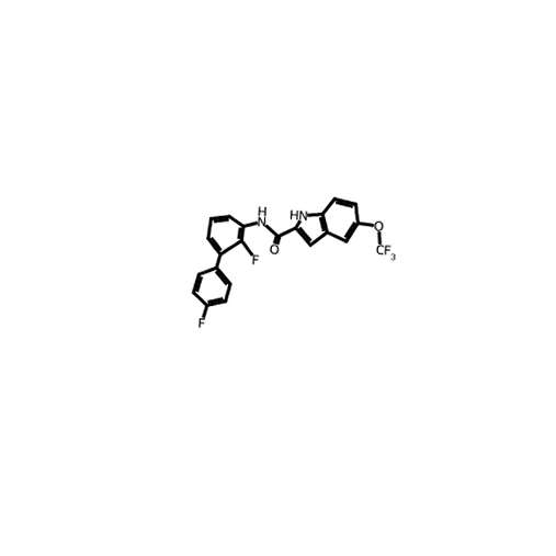 O=C(Nc1cccc(-c2ccc(F)cc2)c1F)c1cc2cc(OC(F)(F)F)ccc2[nH]1